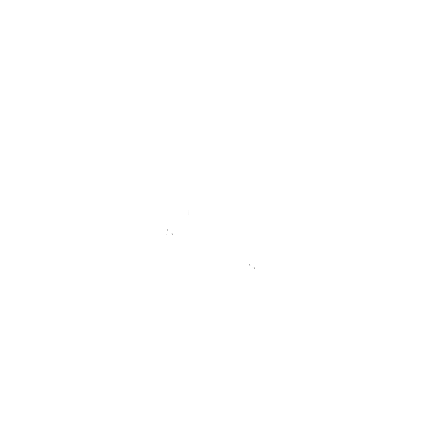 Cn1cccc1C1=CN=CC(c2cccs2)C1